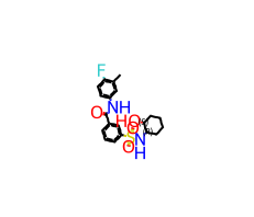 Cc1cc(NC(=O)c2cccc(S(=O)(=O)N[C@@H]3CCCC[C@@H]3O)c2)ccc1F